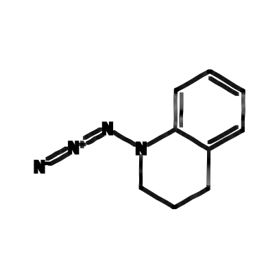 [N-]=[N+]=NN1CCCc2ccccc21